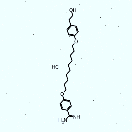 Cl.N=C(N)c1ccc(OCCCCCCCCCCOc2ccc(CCO)cc2)cc1